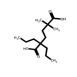 CCCC(CCC)(CCC(C)(C)C(=O)O)C(=O)O